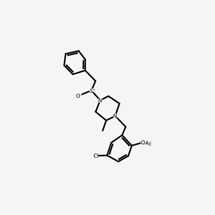 CC(=O)Oc1ccc(Cl)cc1CN1CCN([S+]([O-])Cc2ccccc2)CC1C